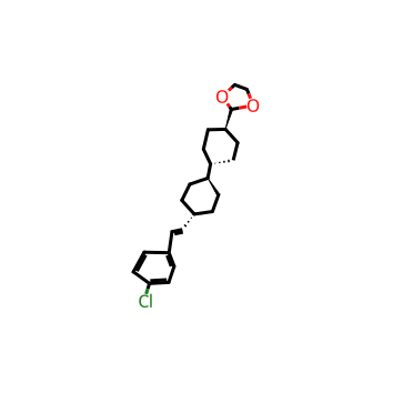 Clc1ccc(C=C[C@H]2CC[C@H]([C@H]3CC[C@H](C4OCCO4)CC3)CC2)cc1